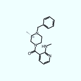 CNc1ncccc1C(=O)N1CCN(Cc2ccccc2)[C@@H](C)C1